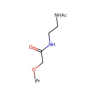 CC(=O)NCCNC(=O)COC(C)C